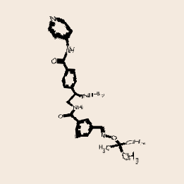 CC(C)(C)ON=Cc1cccc(C(=O)NCC(N)c2ccc(C(=O)Nc3ccncc3)cc2)c1